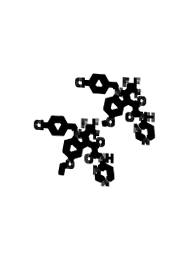 CCOc1ccc2c(c1)c(C(=O)C(=O)Nc1ccncn1)c(C(F)(F)F)n2Cc1ccc(Cl)cc1.COc1ccc2c(c1)c(C(=O)C(=O)Nc1ccncn1)c(C(F)(F)F)n2Cc1ccc(Cl)cc1